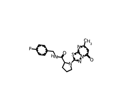 Cc1cc(=O)n2nc(N3CCCC3C(=O)NCc3ccc(F)cc3)sc2n1